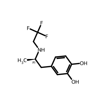 C[C@H](Cc1ccc(O)c(O)c1)NCC(F)(F)F